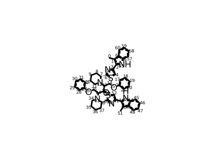 Cc1c(-c2csc([C@H]3CCCCN3C(COc3ccccc3)C(=O)C(COc3ccccc3)N3CCCC[C@@H]3c3nc(-c4[nH]c5ccccc5c4C)cs3)n2)[nH]c2ccccc12